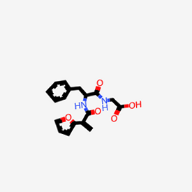 C=C(C(=O)NC(Cc1ccccc1)C(=O)NCC(=O)O)c1ccco1